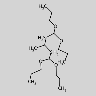 CCCOC(OCCC)[SiH2]C(C)[SiH2]C(OCCC)OCCC